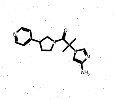 CC(C)(C(=O)N1CCC(c2ccncc2)C1)n1cnc(N)c1